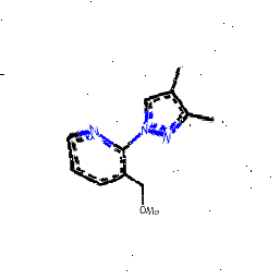 [CH2]c1cn(-c2ncccc2COC)nc1C